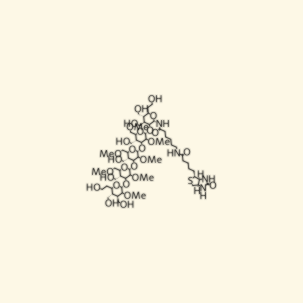 COCC1O[C@H](O[C@@H]2C(OC)[C@@H](O[C@@H]3C(OC)[C@@H](OC4[C@@H](CO)[C@H](CO)C(CCO)O[C@@H]4NC(=O)CCCCCNC(=O)CCCC[C@@H]4SC[C@@H]5NC(=O)N[C@@H]54)OC(COC)[C@H]3CO)OC(COC)[C@H]2CO)C(OC)[C@@H](O[C@H]2OC(CCO)[C@@H](CO)[C@H](CO)C2OC)[C@@H]1CO